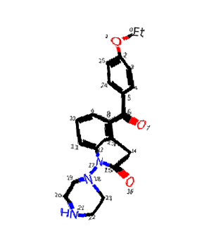 CCOc1ccc(C(=O)c2cccc3c2CC(=O)N3N2CCNCC2)cc1